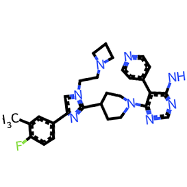 Cc1cc(-c2cn(CCN3CCC3)c(C3CCN(c4ncnc(N)c4-c4ccncc4)CC3)n2)ccc1F